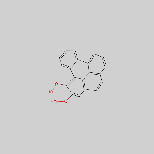 OOc1cc2ccc3cccc4c5ccccc5c(c1OO)c2c34